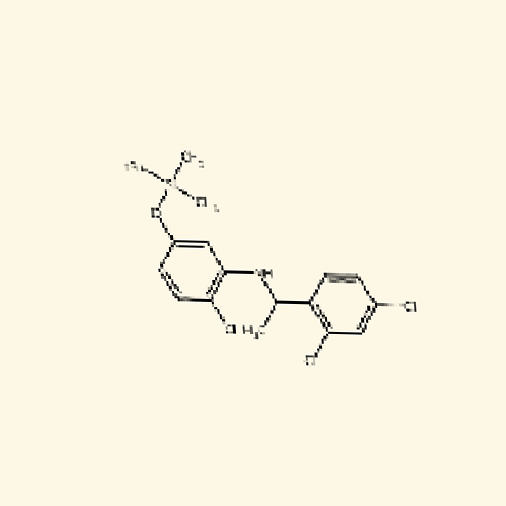 CC(Nc1cc(O[Si](C)(C)C(C)(C)C)ccc1Cl)c1ccc(Cl)cc1Cl